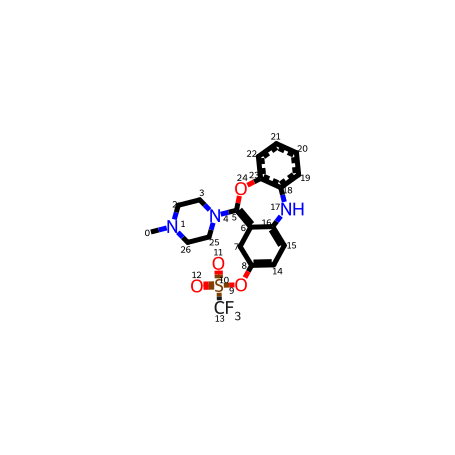 CN1CCN(C2=C3CC(OS(=O)(=O)C(F)(F)F)=CC=C3Nc3ccccc3O2)CC1